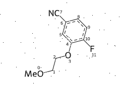 COCCOc1cc(C#N)ccc1F